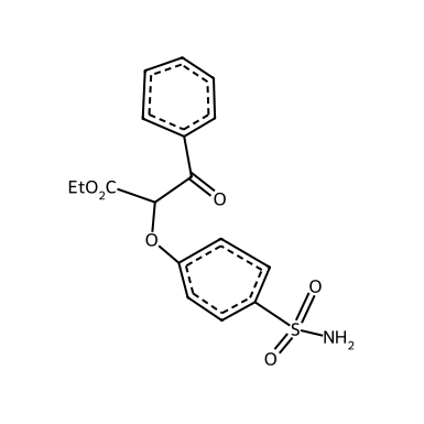 CCOC(=O)C(Oc1ccc(S(N)(=O)=O)cc1)C(=O)c1ccccc1